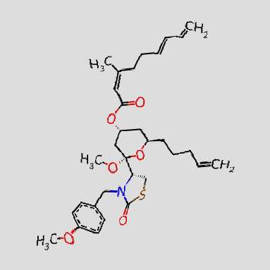 C=CC=CCCC(C)=CC(=O)O[C@@H]1C[C@@H](CCCC=C)O[C@@](OC)([C@@H]2CSC(=O)N2Cc2ccc(OC)cc2)C1